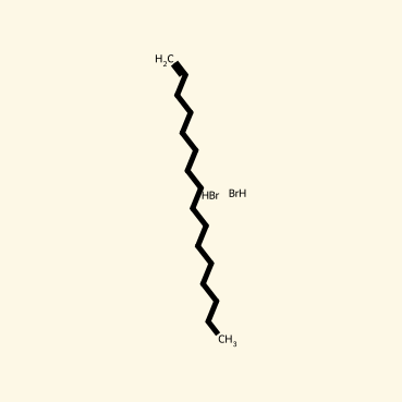 Br.Br.C=CCCCCCCCCCCCCCC